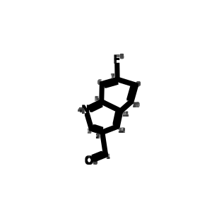 O=Cc1cnc2cc(F)ccc2c1